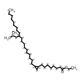 CCCCCCCCCC(CCCCCCCCCCC1CC1CCCCCCCC(=O)OCC)CN(C)C